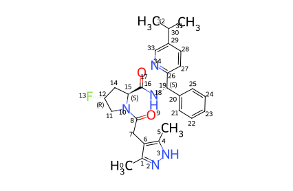 Cc1n[nH]c(C)c1CC(=O)N1C[C@H](F)C[C@H]1C(=O)N[C@@H](c1ccccc1)c1ccc(C(C)C)cn1